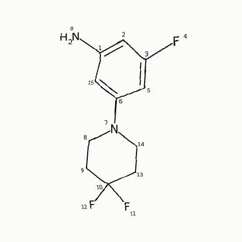 Nc1cc(F)cc(N2CCC(F)(F)CC2)c1